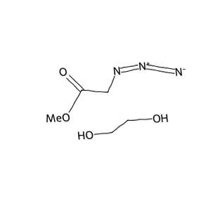 COC(=O)CN=[N+]=[N-].OCCO